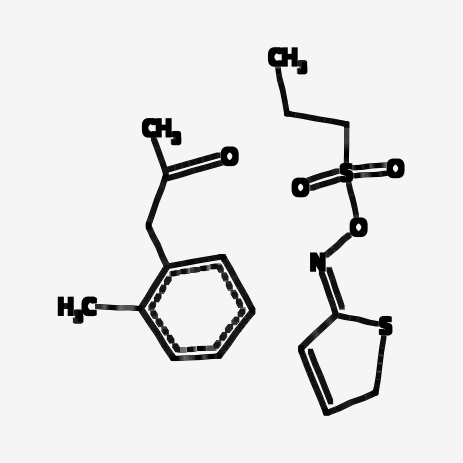 CC(=O)Cc1ccccc1C.CCCS(=O)(=O)ON=C1C=CCS1